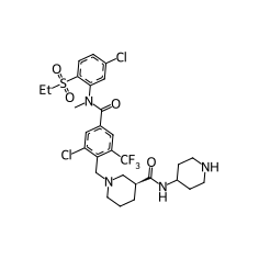 CCS(=O)(=O)c1ccc(Cl)cc1N(C)C(=O)c1cc(Cl)c(CN2CCC[C@H](C(=O)NC3CCNCC3)C2)c(C(F)(F)F)c1